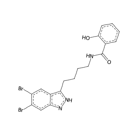 O=C(NCCCCc1[nH]nc2cc(Br)c(Br)cc12)c1ccccc1O